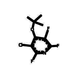 CC(C)(C)Oc1c(F)c(F)nc(F)c1Cl